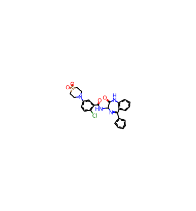 O=C(NC1N=C(c2ccccc2)c2ccccc2NC1=O)c1cc(N2CCS(=O)(=O)CC2)ccc1Cl